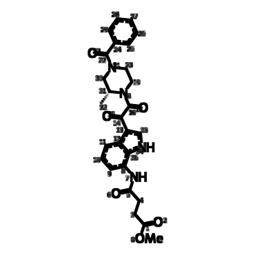 COC(=O)CCC(=O)Nc1cccc2c(C(=O)C(=O)N3CCN(C(=O)c4ccccc4)C[C@H]3C)c[nH]c12